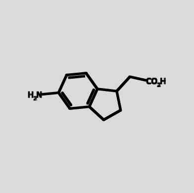 Nc1ccc2c(c1)CCC2CC(=O)O